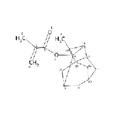 C=C(C)C(=O)OC1(C)C2CC3CC4C1CC4(C3)C2